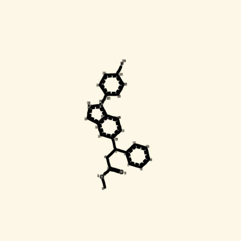 COC(=O)CC(c1ccccc1)c1ccc2c(cnn2-c2ccc(F)cc2)c1